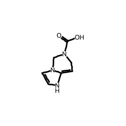 O=C(O)N1CC=C2NC=CN2C1